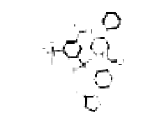 C[C@@H](O[C@H]1CCN(C(=O)[C@H]2CC[C@H](N3CCCC3=O)CC2)C[C@H]1c1ccccc1)c1cc(C(F)(F)F)cc(C(F)(F)F)c1